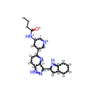 CCCC(=O)Nc1cncc(-c2ccc3[nH]nc(-c4cc5ccccc5[nH]4)c3n2)c1